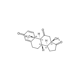 C[C@]12C=CC(=O)C=C1CC[C@@H]1[C@@H]2C(=O)C[C@]2(C)C(=O)CC[C@@H]12